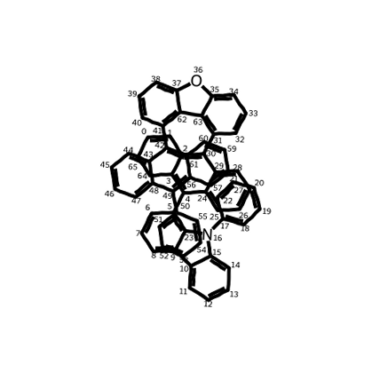 C1=Cc2c(c(-c3cccc4c5ccccc5n(-c5ccccc5)c34)c3ccccc3c2-c2cccc3oc4cccc(-c5c6ccccc6c(-c6ccccc6)c6ccccc56)c4c23)CC1